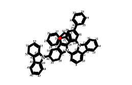 C1=Cc2c(c3c(n2-c2cccc4c5ccccc5n(-c5cc(-c6ccccc6)cc(-c6ccccc6)c5)c24)CCC(n2c4c(c5ccccc52)CCC=C4)=C3)CC1